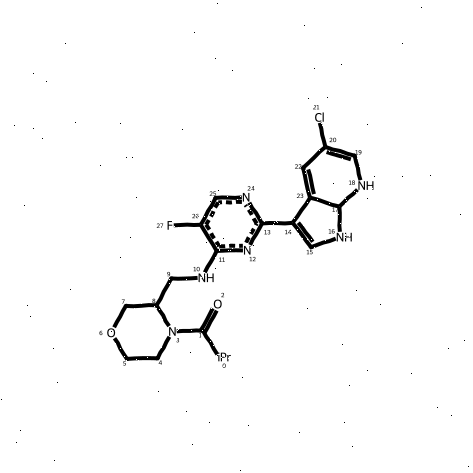 CC(C)C(=O)N1CCOCC1CNc1nc(C2=CNC3NC=C(Cl)C=C23)ncc1F